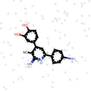 N#Cc1c(-c2ccc(O)c(O)c2)cc(-c2ccc(N)cc2)[nH]c1=N